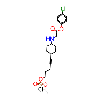 CS(=O)(=O)OCCCC#CC1CCC(NCC(=O)Oc2ccc(Cl)cc2)CC1